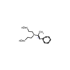 CCCCCCCCCCCCP(CCCCCCCCCCCC)/C(C)=C/c1ccccc1